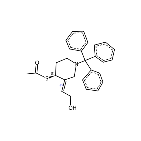 CC(=O)S[C@H]1CCN(C(c2ccccc2)(c2ccccc2)c2ccccc2)C/C1=C\CO